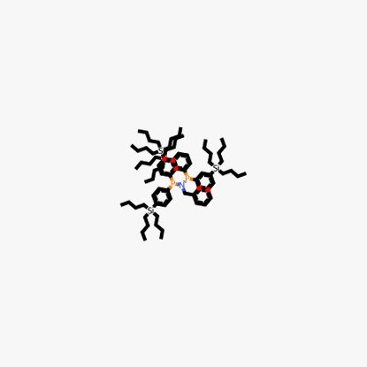 CCCC[Si](CCCC)(CCCC)c1ccc(P(c2ccc([Si](CCCC)(CCCC)CCCC)cc2)N(Cc2ccccc2)P(c2cccc([Si](CCCC)(CCCC)CCCC)c2)c2cccc([Si](CCCC)(CCCC)CCCC)c2)cc1